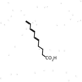 C=CC=CC=CCCCC(=O)O